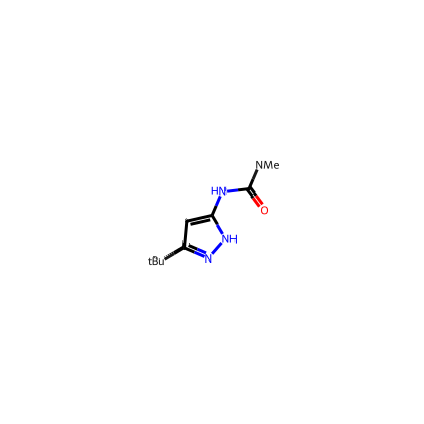 CNC(=O)Nc1cc(C(C)(C)C)n[nH]1